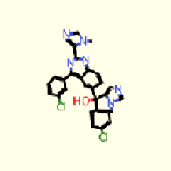 Cn1cncc1-c1nc(-c2cccc(Cl)c2)c2cc(C(O)(c3ccc(Cl)cc3)c3cncn3C)ccc2n1